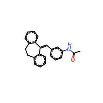 CC(=O)Nc1cccc(C=C2c3ccccc3CCc3ccccc32)c1